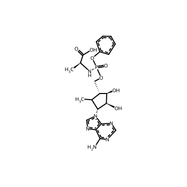 CC1[C@@H](n2cnc3c(N)ncnc32)[C@H](O)[C@H](O)[C@H]1CO[P@@](=O)(N[C@@H](C)C(=O)O)Oc1ccccc1